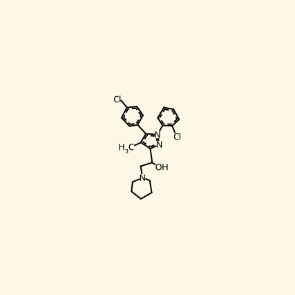 Cc1c(C(O)CN2CCCCC2)nn(-c2ccccc2Cl)c1-c1ccc(Cl)cc1